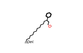 CCCCCCCCCCCCCCCCCCCCCC(CC[O])c1ccccc1